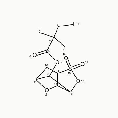 CC(C)(CI)C(=O)OC1C2CC3C(O2)C1OS3(=O)=O